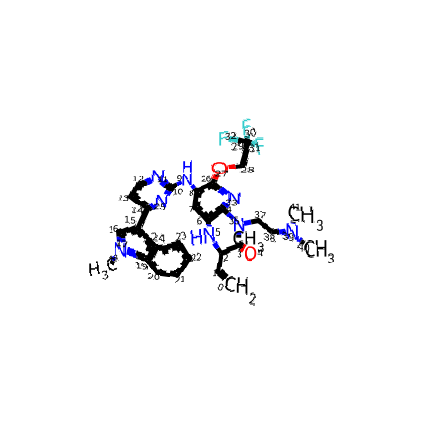 C=CC(C=O)Nc1cc(Nc2nccc(-c3cn(C)c4ccccc34)n2)c(OCC(F)(F)F)nc1N(C)CCN(C)C